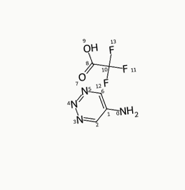 Nc1cnnnc1.O=C(O)C(F)(F)F